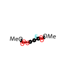 C=C(COC)C(=O)OCCOc1ccc(-c2ccc(-c3ccc(OC(=O)C(=C)COC)cc3F)cc2)cc1